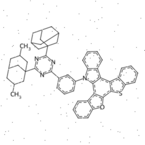 CC1CC2CC(C)CC(c3nc(-c4cccc(-n5c6ccccc6c6c7c8ccccc8sc7c7oc8ccccc8c7c65)c4)nc(C45CC6CC(CC(C6)C4)C5)n3)(C1)C2